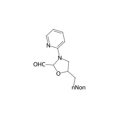 CCCCCCCCCCC1CN(c2ccccn2)C(C=O)O1